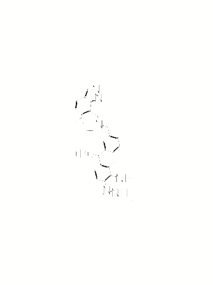 Cc1ccc(C(c2ccc(N(C)N)c(N)c2C)C(C)(C)C)cc1CN1CCOc2ccc3cn(C)nc3c2C1